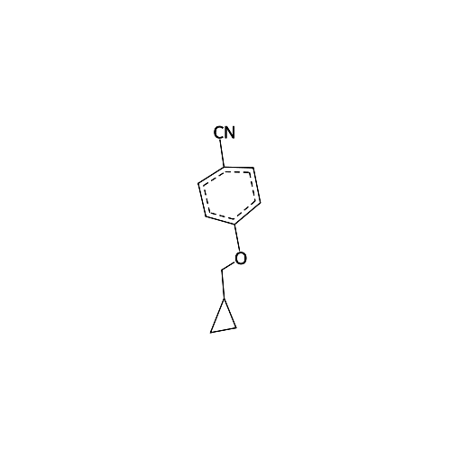 N#Cc1ccc(OCC2CC2)cc1